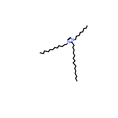 CCCCCCCCCCCCCCCC1N(CCCCCCCC)C=CN1CCCCCCCCCCCC